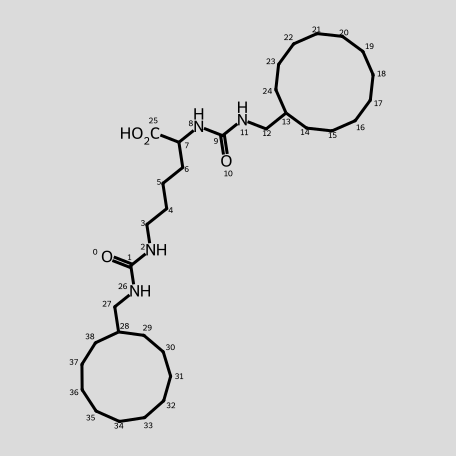 O=C(NCCCCC(NC(=O)NCC1CCCCCCCCCCC1)C(=O)O)NCC1CCCCCCCCCC1